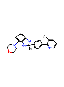 FC(F)(F)c1cccnc1-c1ccc(C2(C(F)(F)F)Nc3cccc(N4CCOCC4)c3N2)cc1